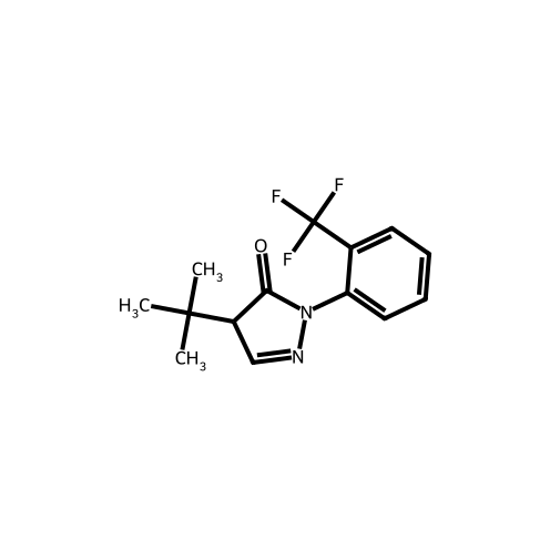 CC(C)(C)C1C=NN(c2ccccc2C(F)(F)F)C1=O